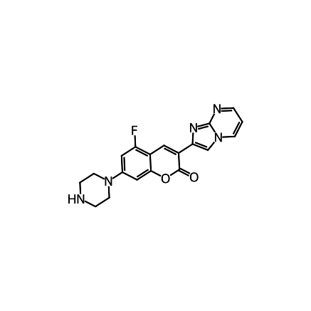 O=c1oc2cc(N3CCNCC3)cc(F)c2cc1-c1cn2cccnc2n1